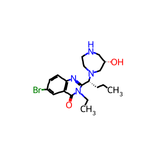 CCC[C@H](c1nc2ccc(Br)cc2c(=O)n1CC)N1CCNC[C@H](O)C1